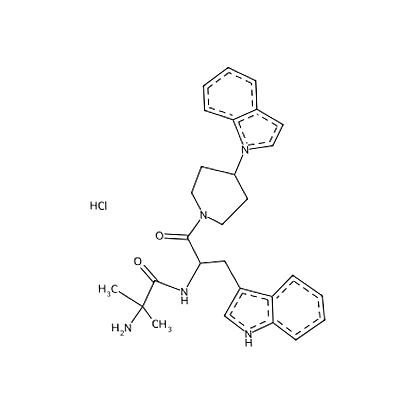 CC(C)(N)C(=O)NC(Cc1c[nH]c2ccccc12)C(=O)N1CCC(n2ccc3ccccc32)CC1.Cl